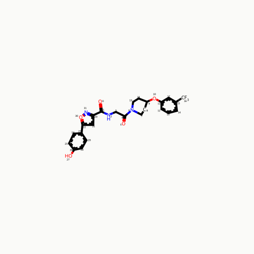 O=C(NCC(=O)N1CCC(Oc2cccc(C(F)(F)F)c2)CC1)c1cc(-c2ccc(O)cc2)on1